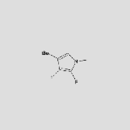 Cn1cc(C(C)(C)C)c(F)c1F